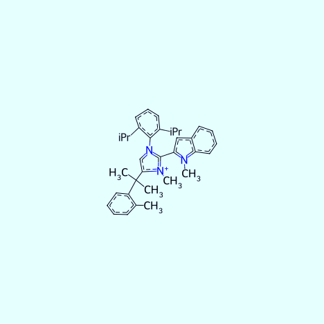 Cc1ccccc1C(C)(C)c1cn(-c2c(C(C)C)cccc2C(C)C)c(-c2cc3ccccc3n2C)[n+]1C